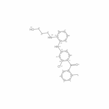 Cc1ccccc1C(=O)c1ccc(Nc2ccccc2NCCCO)cc1Cl